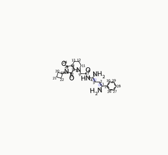 N/C(=C\C=C(/N)NC(=O)CN1CCCC2=C1C(=O)N(C1CCC1)C2=O)c1ccccc1